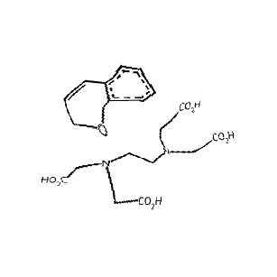 C1=Cc2ccccc2OC1.O=C(O)CN(CCN(CC(=O)O)CC(=O)O)CC(=O)O